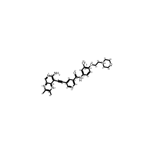 Cc1nc2cnc(N)c(C#Cc3cncc(C(=O)Nc4ccc(OCCN5CCOCC5)c(C(F)(F)F)c4)c3)c2nc1C